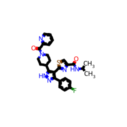 CC(C)NC(=O)c1csc(-c2c(-c3ccc(F)cc3)n[nH]c2C2CCN(C(=O)c3ccccn3)CC2)n1